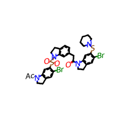 CC(=O)N1CCc2cc(Br)c(S(=O)(=O)N3CCc4ccc(CC(=O)N5CCc6cc(Br)c(SN7CCCCC7)cc65)cc43)cc21